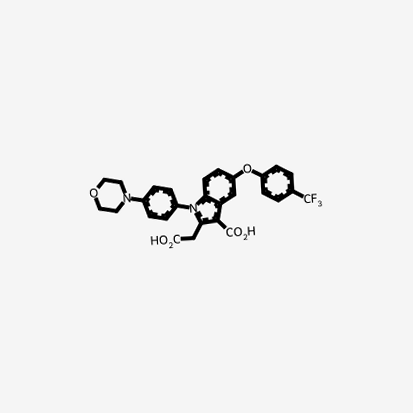 O=C(O)Cc1c(C(=O)O)c2cc(Oc3ccc(C(F)(F)F)cc3)ccc2n1-c1ccc(N2CCOCC2)cc1